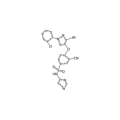 CC(C)c1nn(-c2ccccc2Cl)cc1Oc1ccc(S(=O)(=O)Nc2ncns2)cc1C#N